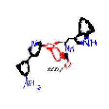 CC(C)(C)OC(=O)N[C@H](COc1cncc(-c2cccc(N)c2)c1)Cc1c[nH]c2ccccc12